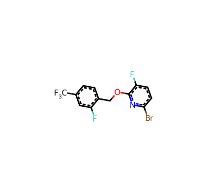 Fc1cc(C(F)(F)F)ccc1COc1nc(Br)ccc1F